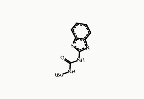 CC(C)(C)NC(=O)Nc1nc2ccccc2s1